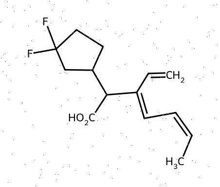 C=C/C(=C\C=C/C)C(C(=O)O)C1CCC(F)(F)C1